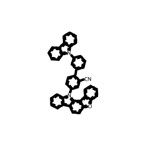 N#Cc1cc(-n2c3ccccc3c3ccc4oc5ccccc5c4c32)ccc1-c1cccc(-n2c3ccccc3c3ccccc32)c1